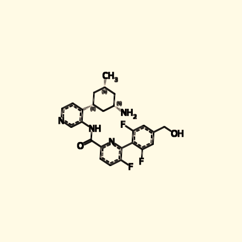 C[C@@H]1C[C@H](N)C[C@H](c2ccncc2NC(=O)c2ccc(F)c(-c3c(F)cc(CO)cc3F)n2)C1